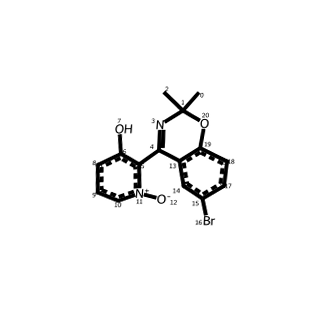 CC1(C)N=C(c2c(O)ccc[n+]2[O-])c2cc(Br)ccc2O1